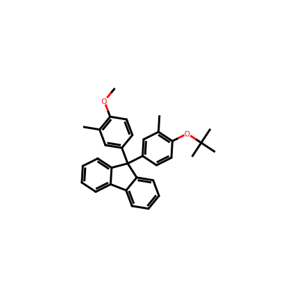 COc1ccc(C2(c3ccc(OC(C)(C)C)c(C)c3)c3ccccc3-c3ccccc32)cc1C